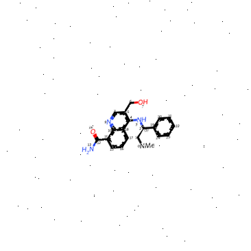 CNC[C@@H](Nc1c(CO)cnc2c(C(N)=O)cccc12)c1ccccc1